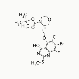 CSc1nc(O)c2c(OCC[C@H]3COCCN3C(=O)OC(C)(C)C)c(Cl)c(Br)c(F)c2n1